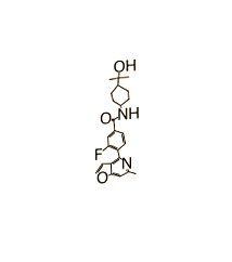 Cc1cc2occc2c(-c2ccc(C(=O)NC3CCC(C(C)(C)O)CC3)cc2F)n1